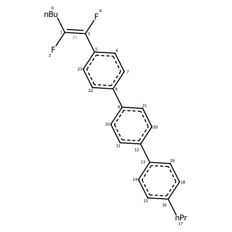 CCCC/C(F)=C(\F)c1ccc(-c2ccc(-c3ccc(CCC)cc3)cc2)cc1